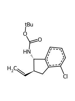 C=C[C@@H]1Cc2c(Cl)cccc2[C@H]1NC(=O)OC(C)(C)C